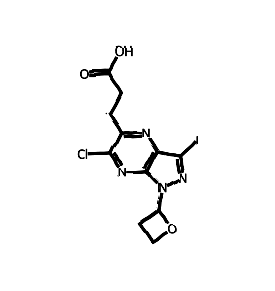 O=C(O)C[CH]c1nc2c(I)nn(C3CCO3)c2nc1Cl